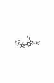 Cc1nc(-c2ccc3c(c2)c(C#N)cn3CC(C)(C)C)sc1C(=O)O